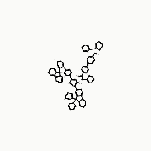 c1ccc(-c2nc3c(-c4ccc5c(c4)C(c4ccccc4)(c4ccccc4)c4ccccc4-5)ccc(-c4ccc5c(c4)C(c4ccccc4)(c4ccccc4)c4ccccc4-5)c3nc2-c2ccc(-c3ccc(-c4nc5ccccc5n4-c4ccccc4)cc3)cc2)cc1